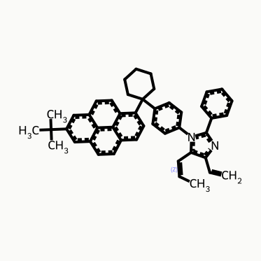 C=Cc1nc(-c2ccccc2)n(-c2ccc(C3(c4ccc5ccc6cc(C(C)(C)C)cc7ccc4c5c67)CCCCC3)cc2)c1/C=C\C